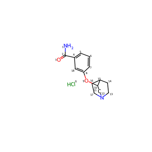 Cl.NC(=O)c1cccc(OC2CN3CCC2CC3)c1